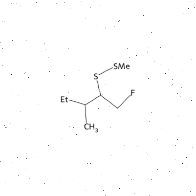 CCC(C)C(CF)SSC